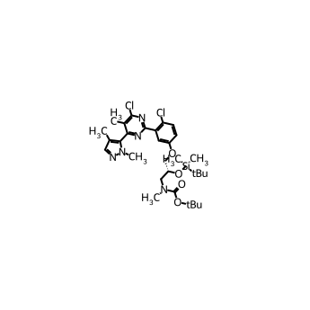 Cc1cnn(C)c1-c1nc(-c2cc(OC[C@@H](CN(C)C(=O)OC(C)(C)C)O[Si](C)(C)C(C)(C)C)ccc2Cl)nc(Cl)c1C